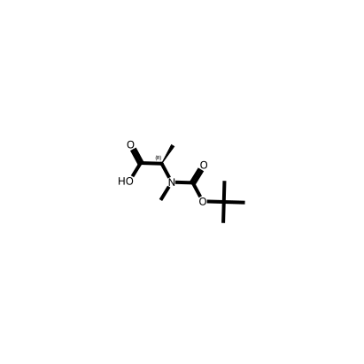 C[C@H](C(=O)O)N(C)C(=O)OC(C)(C)C